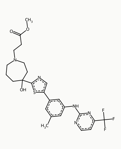 COC(=O)CCN1CCCC(O)(c2ncc(-c3cc(C)cc(Nc4nccc(C(F)(F)F)n4)c3)s2)CC1